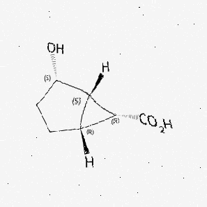 O=C(O)[C@@H]1[C@@H]2CC[C@H](O)[C@@H]21